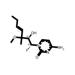 CC/C=C/C(C)(OC)[C@@H](O)[C@@H](F)n1ccc(N)nc1=O